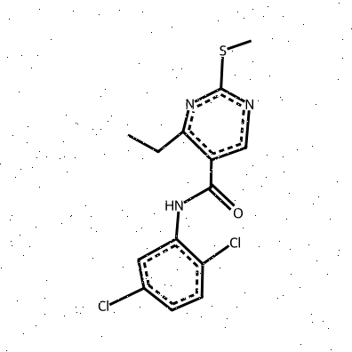 CCc1nc(SC)ncc1C(=O)Nc1cc(Cl)ccc1Cl